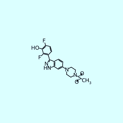 CS(=O)(=O)N1CCN(c2ccc3c(-c4ccc(F)c(O)c4F)n[nH]c3c2)CC1